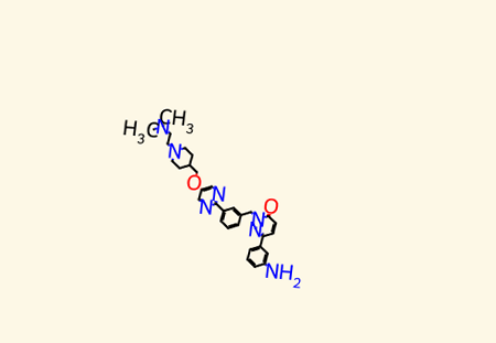 CN(C)CCN1CCC(COc2cnc(-c3cccc(Cn4nc(-c5cccc(N)c5)ccc4=O)c3)nc2)CC1